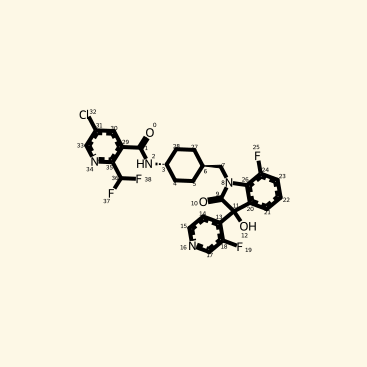 O=C(N[C@H]1CC[C@H](CN2C(=O)C(O)(c3ccncc3F)c3cccc(F)c32)CC1)c1cc(Cl)cnc1C(F)F